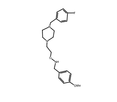 COc1ccc(CNOCCN2CCN(Cc3ccc(F)cc3)CC2)cc1